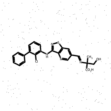 CC(CO)(N=Cc1cnc2c(Nc3cccc(-c4ccccc4)c3Cl)nsc2c1)C(=O)O